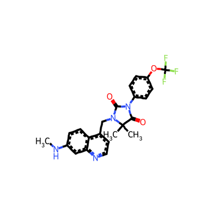 CNc1ccc2c(CN3C(=O)N(c4ccc(OC(F)(F)F)cc4)C(=O)C3(C)C)ccnc2c1